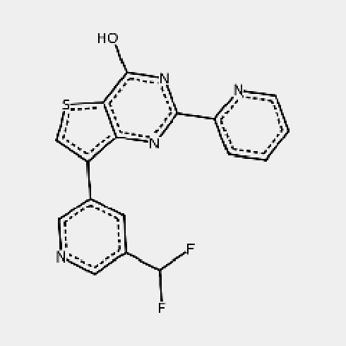 Oc1nc(-c2ccccn2)nc2c(-c3cncc(C(F)F)c3)csc12